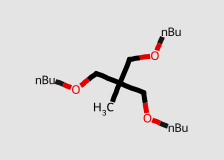 CCCCOCC(C)(COCCCC)COCCCC